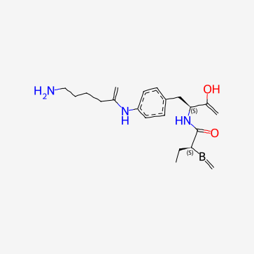 C=B[C@@H](CC)C(=O)N[C@@H](Cc1ccc(NC(=C)CCCCN)cc1)C(=C)O